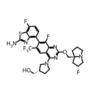 Nc1nc2c(-c3c(C(F)(F)F)cc4c(N5CC[C@H](CO)C5)nc(OC[C@@]56CCCN5C[C@H](F)C6)nc4c3F)ccc(F)c2s1